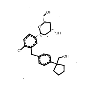 OC[C@@H]1C[C@H](O)C[C@H](c2ccc(Cl)c(Cc3ccc(C4(CO)CCCC4)cc3)c2)O1